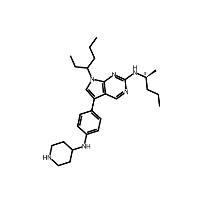 CCCC(CC)n1cc(-c2ccc(NC3CCNCC3)cc2)c2cnc(N[C@@H](C)CCC)nc21